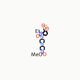 CCn1c(=O)n(C2CCN(C3CCN(C(=O)OC)CC3)CC2)c2cccc(CS(C)(=O)=O)c21